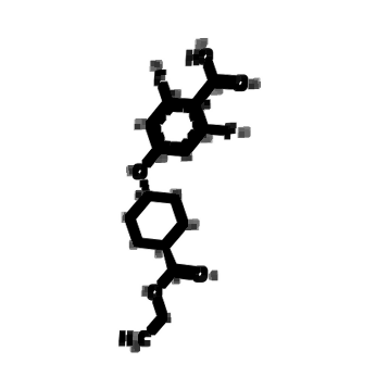 CCOC(=O)[C@H]1CC[C@H](Oc2cc(F)c(C(=O)O)c(F)c2)CC1